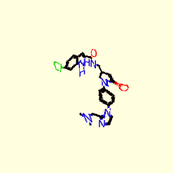 CN(C)Cc1nccn1-c1ccc(N2CC(CNC(=O)c3cc4ccc(Cl)cc4[nH]3)CC2=O)cc1